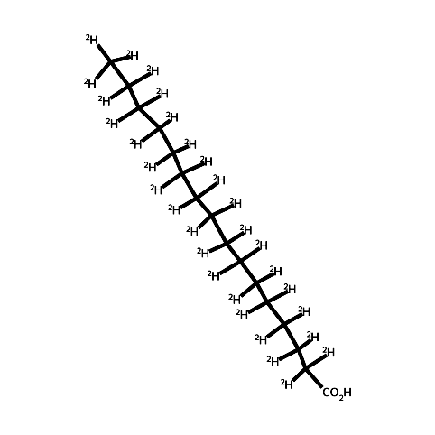 [2H]C([2H])([2H])C([2H])([2H])C([2H])([2H])C([2H])([2H])C([2H])([2H])C([2H])([2H])C([2H])([2H])C([2H])([2H])C([2H])([2H])C([2H])([2H])C([2H])([2H])C([2H])([2H])C([2H])([2H])C([2H])([2H])C([2H])([2H])C(=O)O